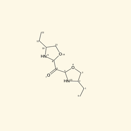 CCC1COC(C(=O)C2NC(CC)CO2)N1